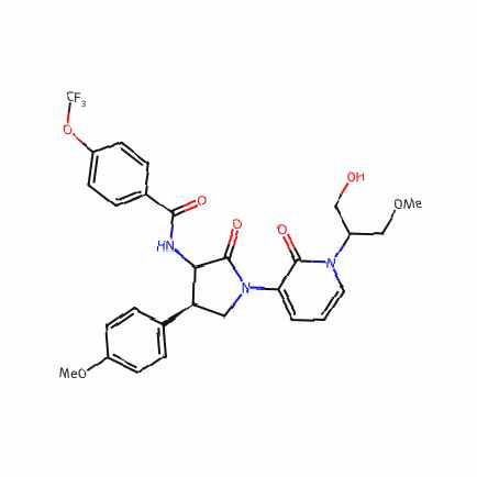 COCC(CO)n1cccc(N2C[C@@H](c3ccc(OC)cc3)C(NC(=O)c3ccc(OC(F)(F)F)cc3)C2=O)c1=O